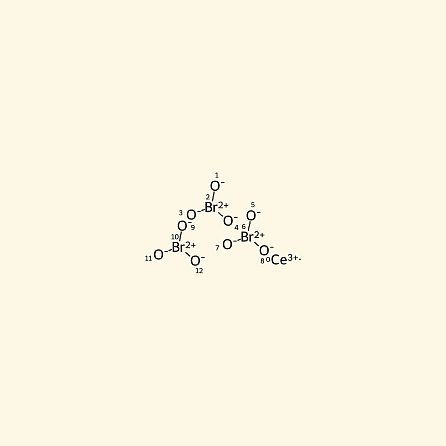 [Ce+3].[O-][Br+2]([O-])[O-].[O-][Br+2]([O-])[O-].[O-][Br+2]([O-])[O-]